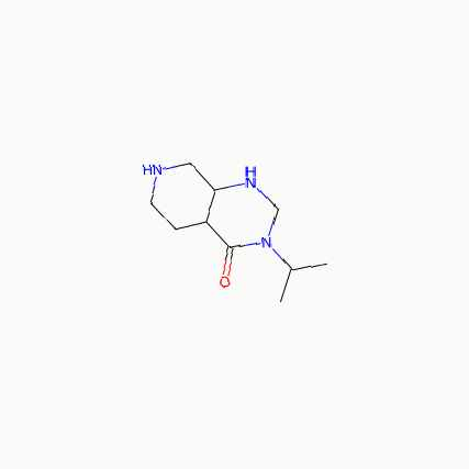 CC(C)N1CNC2CNCCC2C1=O